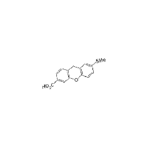 CSc1ccc2c(c1)Cc1ccc(C(=O)O)cc1O2